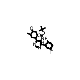 CC1CC(c2ncnc(-c3cc(F)ccc3F)c2NC(=O)OC(C)(C)C)CCC1=O